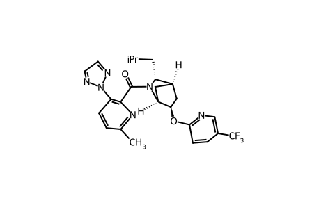 Cc1ccc(-n2nccn2)c(C(=O)N2[C@H](CC(C)C)[C@H]3C[C@@H](Oc4ccc(C(F)(F)F)cn4)[C@@H]2C3)n1